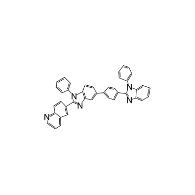 c1ccc(-n2c(-c3ccc(-c4ccc5c(c4)nc(-c4ccc6ncccc6c4)n5-c4ccccc4)cc3)nc3ccccc32)cc1